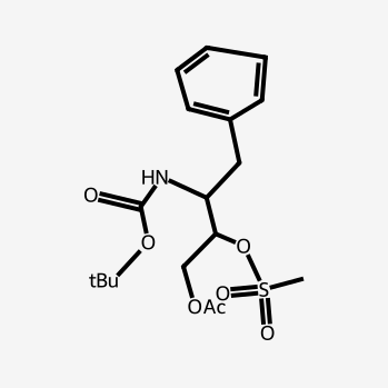 CC(=O)OCC(OS(C)(=O)=O)C(Cc1ccccc1)NC(=O)OC(C)(C)C